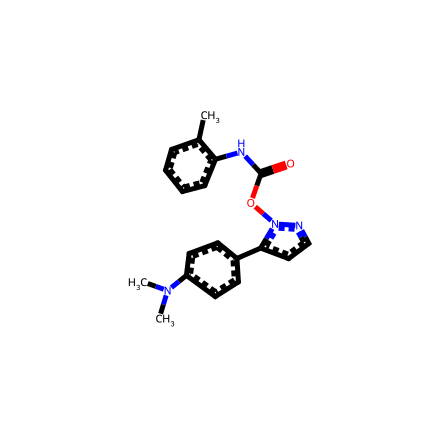 Cc1ccccc1NC(=O)On1nccc1-c1ccc(N(C)C)cc1